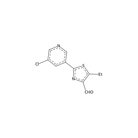 CCc1sc(-c2cncc(Cl)c2)nc1C=O